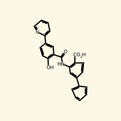 O=C(Nc1cc(-c2ccccc2)ccc1C(=O)O)c1cc(-c2ccccn2)ccc1O